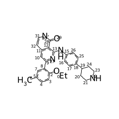 CCOc1ccc(C)cc1-c1cc2c(c(Nc3ccc(C4CCNCC4)cc3)n1)C(=O)[N]C=C2